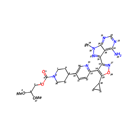 COC(COC(=O)N1CCC(c2ccc(-c3c(-c4nn(C(C)C)c5ncnc(N)c45)noc3C3CC3)nc2)CC1)OC